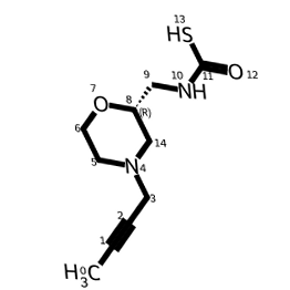 CC#CCN1CCO[C@H](CNC(=O)S)C1